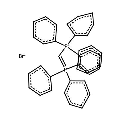 C(=P(c1ccccc1)(c1ccccc1)c1ccccc1)[P+](c1ccccc1)(c1ccccc1)c1ccccc1.[Br-]